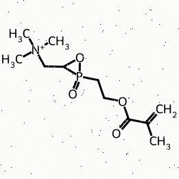 C=C(C)C(=O)OCCP1(=O)OC1C[N+](C)(C)C